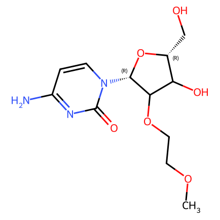 COCCOC1C(O)[C@@H](CO)O[C@H]1n1ccc(N)nc1=O